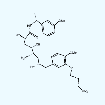 COCCCOc1cc(C[C@@H](C[C@H](N)[C@@H](O)C[C@H](C(=O)N[C@H](C)c2cccc(OC)c2)C(C)C)C(C)C)ccc1OC